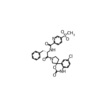 CS(=O)(=O)c1ccc(C(=O)N[C@@H](Cc2ccccc2)C(=O)N2CCC3(C2)OC(=O)Nc2ccc(Cl)cc23)nc1